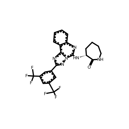 O=C1NCCCC[C@H]1Nc1nc2ccccc2c2nc(-c3cc(C(F)(F)F)cc(C(F)(F)F)c3)nn12